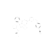 COC(=O)N[C@H]1CCC[C@@H]1C(CN1CCC1)(c1cccc(F)c1)C1CCN(C2CC[C@H](Nc3ccc(C#N)cc3)C2)CC1